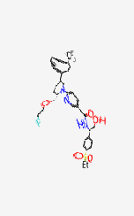 CCS(=O)(=O)c1ccc([C@H](CO)NC(=O)c2ccc(N3CC(c4ccc(C(F)(F)F)cc4)CC[C@H]3COCCF)nc2)cc1